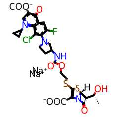 C[C@@H](O)[C@@H]1C(=O)N2C(C(=O)[O-])=C(SCCOC(=O)NC3CCN(c4c(F)cc5c(=O)c(C(=O)[O-])cn(C6CC6)c5c4Cl)C3)S[C@H]12.[Na+].[Na+]